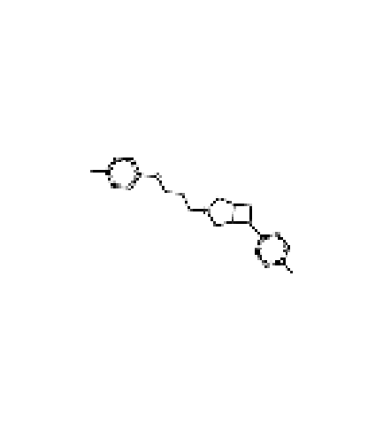 Fc1ccc(OCCCN2CC3CC(c4ccc(F)cc4)C3C2)cc1